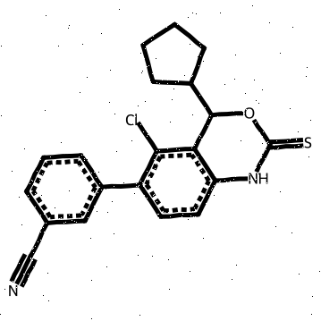 N#Cc1cccc(-c2ccc3c(c2Cl)C(C2CCCC2)OC(=S)N3)c1